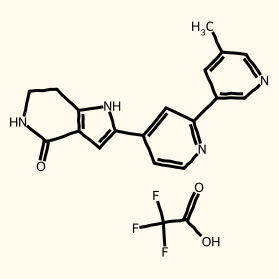 Cc1cncc(-c2cc(-c3cc4c([nH]3)CCNC4=O)ccn2)c1.O=C(O)C(F)(F)F